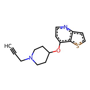 C#CCN1CCC(Oc2ccnc3ccsc23)CC1